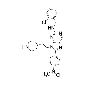 CN(C)c1ccc(-c2nc3cnc(NCc4ccccc4Cl)nc3n2CCC2CCNCC2)cc1